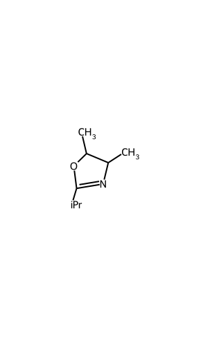 CC(C)C1=NC(C)C(C)O1